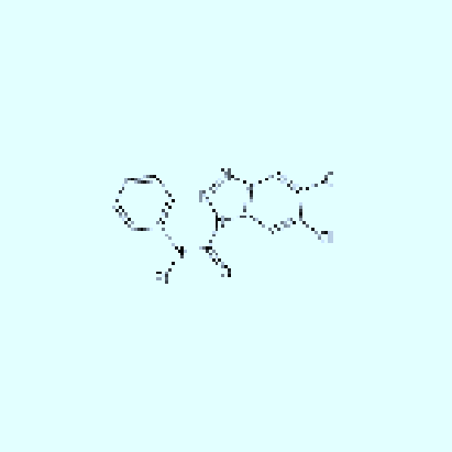 CCN(C(=O)n1nnc2cc(Cl)c(Cl)cc21)c1ccccc1